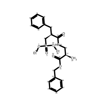 CCOP(=O)(C[C@@H](Cc1ccccc1)C(=O)NC[C@@H](C)C(=O)OCc1ccccc1)OCC